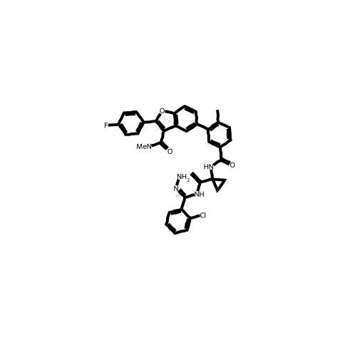 C=C(N/C(=N\N)c1ccccc1Cl)C1(NC(=O)c2ccc(C)c(-c3ccc4oc(-c5ccc(F)cc5)c(C(=O)NC)c4c3)c2)CC1